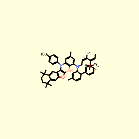 C/C=C(\C(=C/CN(c1cc(C)cc2c1Bc1oc3cc4c(cc3c1N2c1ccc(C(C)(C)C)cc1)C(C)(C)CCC4(C)C)C1C=C(C)C=CC1C1=CC[C@H](C)C=C1)C(C)C)C(C)(C)CC